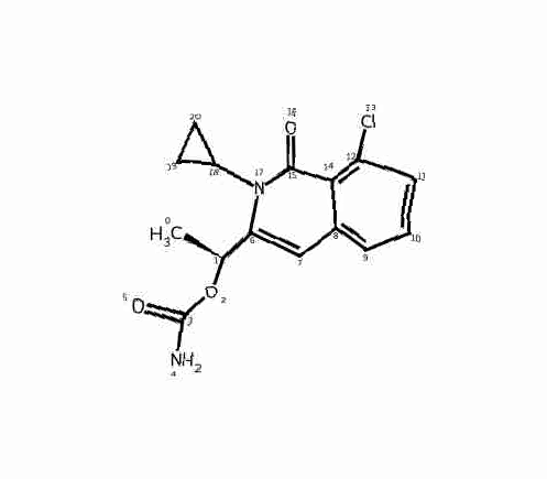 C[C@H](OC(N)=O)c1cc2cccc(Cl)c2c(=O)n1C1CC1